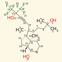 CC(C)(O)CCC[C@](C)(CC#CC(O)(C(F)(F)F)C(F)(F)F)[C@H]1CC[C@H]2[C@@H](O)CCC[C@]12C